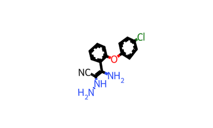 N#C/C(NN)=C(/N)c1ccccc1Oc1ccc(Cl)cc1